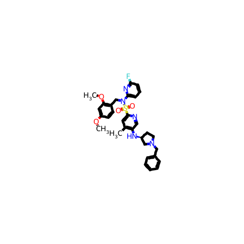 COc1ccc(CN(c2cccc(F)n2)S(=O)(=O)c2cc(C)c(N[C@H]3CCN(Cc4ccccc4)C3)cn2)c(OC)c1